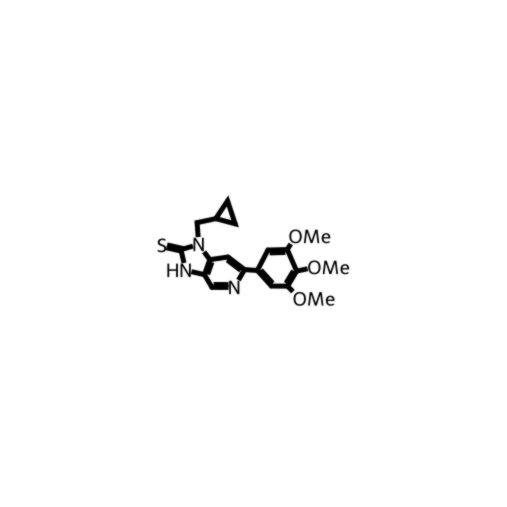 COc1cc(-c2cc3c(cn2)[nH]c(=S)n3CC2CC2)cc(OC)c1OC